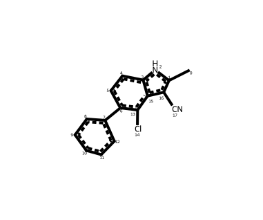 Cc1[nH]c2ccc(-c3ccccc3)c(Cl)c2c1C#N